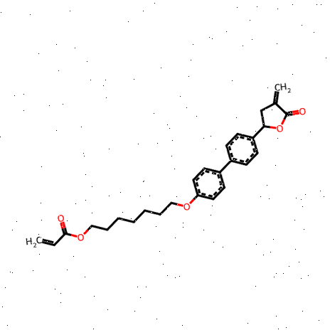 C=CC(=O)OCCCCCCCOc1ccc(-c2ccc(C3CC(=C)C(=O)O3)cc2)cc1